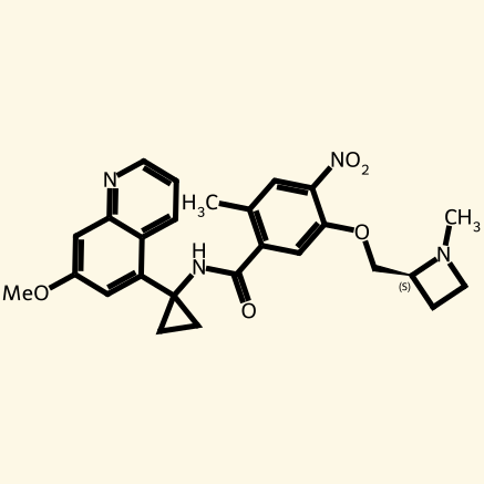 COc1cc(C2(NC(=O)c3cc(OC[C@@H]4CCN4C)c([N+](=O)[O-])cc3C)CC2)c2cccnc2c1